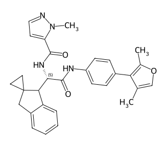 Cc1coc(C)c1-c1ccc(NC(=O)[C@@H](NC(=O)c2ccnn2C)C2c3ccccc3CC23CC3)cc1